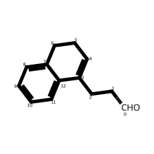 O=CCCC1=CCCc2ccccc21